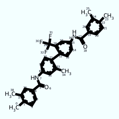 Cc1ccc(C(=O)Nc2ccc(-c3ccc(NC(=O)c4ccc(C)c(C)c4)cc3C(F)(F)F)c(C)c2)cc1C